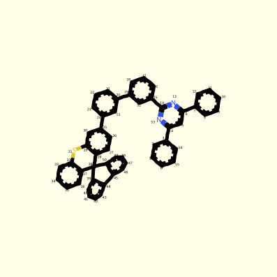 c1ccc(-c2cc(-c3ccccc3)nc(-c3cccc(-c4cccc(-c5ccc6c(c5)Sc5ccccc5C65c6ccccc6-c6ccccc65)c4)c3)n2)cc1